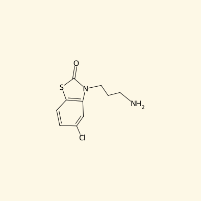 NCCCn1c(=O)sc2ccc(Cl)cc21